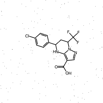 O=C(O)c1cnn2c1NC(c1ccc(Cl)cc1)CC2C(F)(F)F